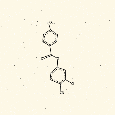 CCCCCCCCc1ccc(C(=O)Oc2ccc(C#N)c(Cl)c2)nc1